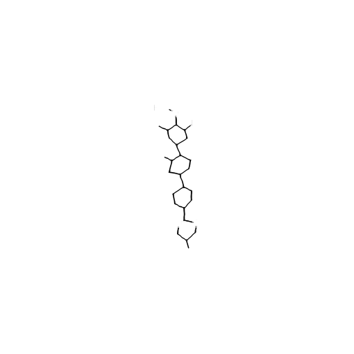 CC1COC(C2CCC(C3CCC(C4CC(F)C(OC(F)(F)F)C(F)C4)C(F)C3)CC2)OC1